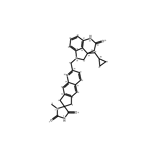 CN1C(=O)NC(=O)C12Cc1cc3ccc(CN4CC5(CC6CC6)CC(=O)Nc6cccc4c65)nc3cc1C2